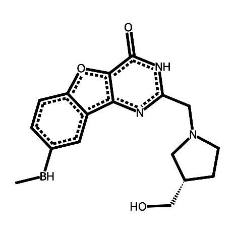 CBc1ccc2oc3c(=O)[nH]c(CN4CC[C@H](CO)C4)nc3c2c1